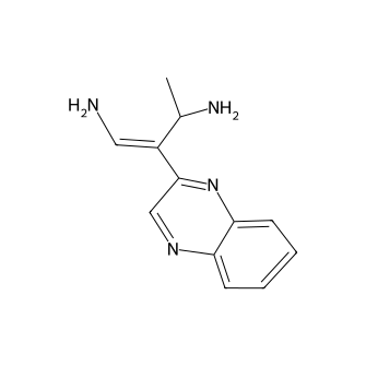 CC(N)/C(=C\N)c1cnc2ccccc2n1